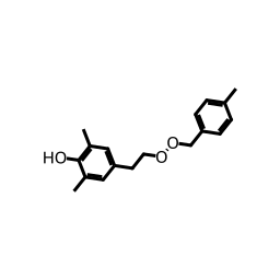 Cc1ccc(COOCCc2cc(C)c(O)c(C)c2)cc1